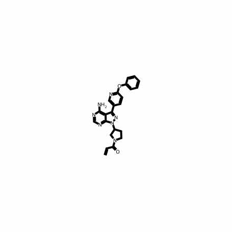 C=CC(=O)N1CCC(n2nc(-c3ccc(Oc4ccccc4)nc3)c3c(N)ncnc32)C1